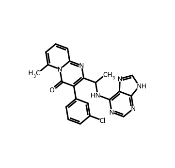 Cc1cccc2nc(C(C)Nc3ncnc4[nH]cnc34)c(-c3cccc(Cl)c3)c(=O)n12